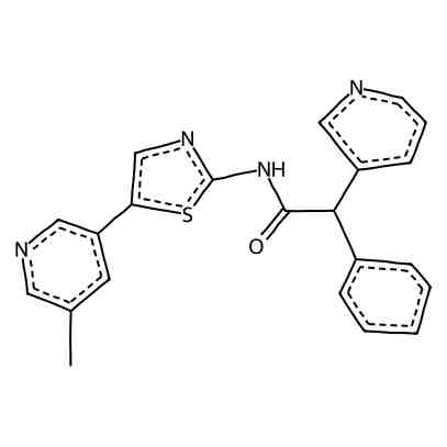 Cc1cncc(-c2cnc(NC(=O)C(c3ccccc3)c3cccnc3)s2)c1